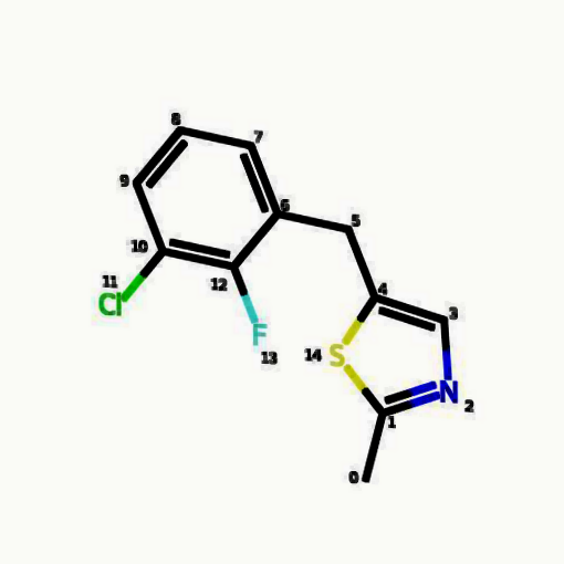 Cc1ncc(Cc2cccc(Cl)c2F)s1